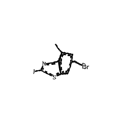 Cc1cc(Br)cc2sc(I)nc12